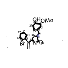 COc1cc(/C=C2\SC(Nc3ccccc3Br)=NC2=O)ccc1O